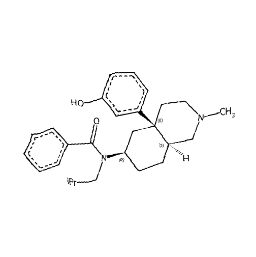 CC(C)CN(C(=O)c1ccccc1)[C@@H]1CC[C@@H]2CN(C)CC[C@@]2(c2cccc(O)c2)C1